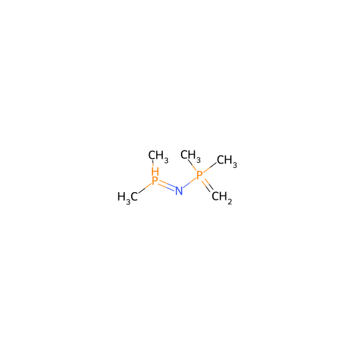 C=P(C)(C)N=[PH](C)C